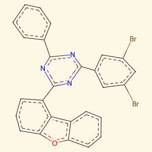 Brc1cc(Br)cc(-c2nc(-c3ccccc3)nc(-c3cccc4oc5ccccc5c34)n2)c1